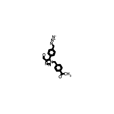 CC(=O)c1ccc(Cn2nnc(C=O)c2-c2ccc(CN=[N+]=[N-])cc2)cc1